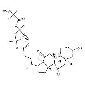 C#CC(C)(CC(C)(C)OC(=O)CC[C@@H](C)[C@H]1CC[C@H]2[C@@H]3C(=O)C[C@@H]4CC(O)CC[C@]4(C)[C@H]3CC(=O)[C@]12C)OC(=O)C(F)(F)S(=O)(=O)O